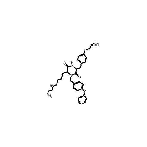 CCCOc1ccc(CC2NC(=O)C(CCCCNCCN)N(Cc3ccc(Oc4ccccc4)cc3)C2=O)cc1